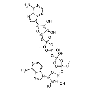 COP(=O)(O[C@H]1O[C@@H](n2cnc3c(N)ncnc32)[C@H](O)[C@H]1O)OP(=O)(O)OP(=O)(O)OP(=O)(OC)O[C@H]1O[C@@H](n2cnc3c(N)ncnc32)[C@H](O)[C@H]1O